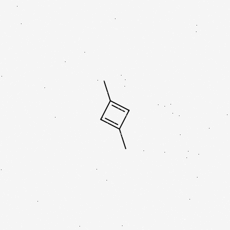 CC1=CC(C)=C1